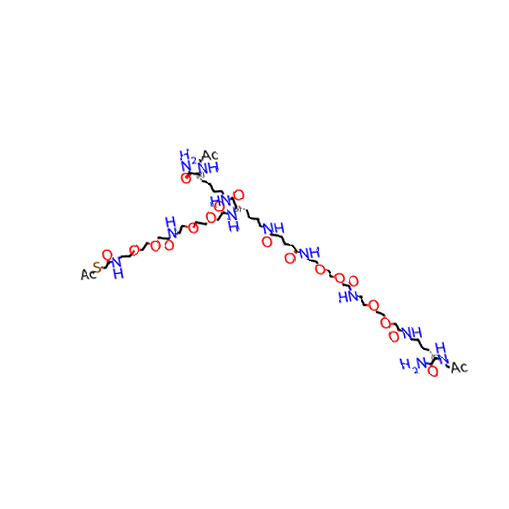 CC(=O)CN[C@@H](CCCCNC(=O)COCCOCCNC(=O)COCCOCCNC(=O)CCCC(=O)NCCCC[C@H](NC(=O)COCCOCCNC(=O)COCCOCCNC(=O)CSC(C)=O)C(=O)NCCCC[C@@H](NCC(C)=O)C(N)=O)C(N)=O